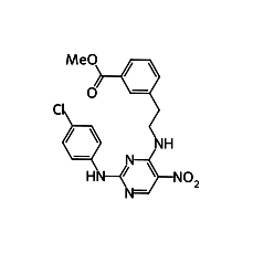 COC(=O)c1cccc(CCNc2nc(Nc3ccc(Cl)cc3)ncc2[N+](=O)[O-])c1